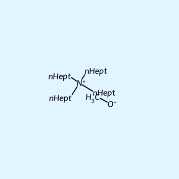 CCCCCCC[N+](CCCCCCC)(CCCCCCC)CCCCCCC.C[O-]